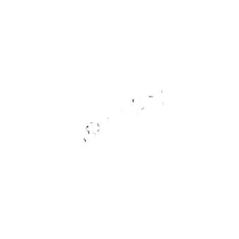 CC(C)CC(C(=O)OCCCCOc1ccc(C(=O)O)cc1)C(C)C